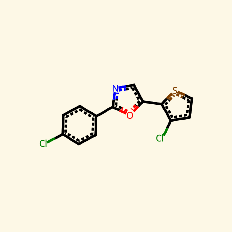 Clc1ccc(-c2ncc(-c3sccc3Cl)o2)cc1